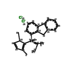 CC1=[C]([Hf+2](=[C](C(C)C)C(C)C)[c]2cccc3c2Cc2ccccc2-3)C(C)C=C1.[Cl-].[Cl-]